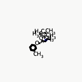 Cc1cccc(OC[C@@H](/C=C/I)O[Si](C)(C)C(C)(C)C)c1